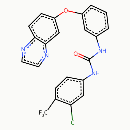 O=C(Nc1cccc(Oc2ccc3nccnc3c2)c1)Nc1ccc(C(F)(F)F)c(Cl)c1